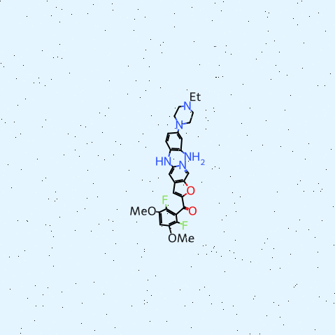 CCN1CCN(c2ccc(Nc3cc4cc(C(=O)c5c(F)c(OC)cc(OC)c5F)oc4cn3)c(N)c2)CC1